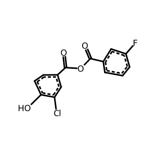 O=C(OC(=O)c1ccc(O)c(Cl)c1)c1cccc(F)c1